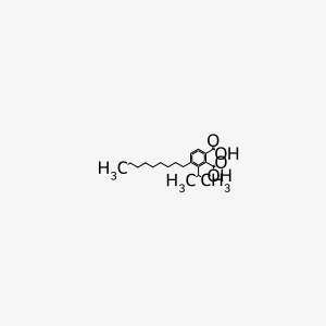 CCCCCCCCCc1ccc(C(=O)O)c(C(=O)O)c1C(C)C